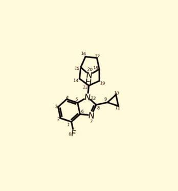 Fc1cccc2c1nc(C1CC1)n2C1CC2CCC(C1)N2